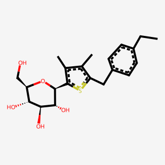 CCc1ccc(Cc2sc([C@@H]3O[C@H](CO)[C@@H](O)[C@H](O)[C@H]3O)c(C)c2C)cc1